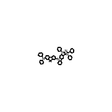 CC1(C)c2cc(N(c3ccccc3)c3ccccc3)ccc2-c2ccc(-n3c4ccccc4c4cc5c6c(nc(-c7ccccc7)n6-c6ccccc6)n(-c6ccccc6)c5cc43)cc21